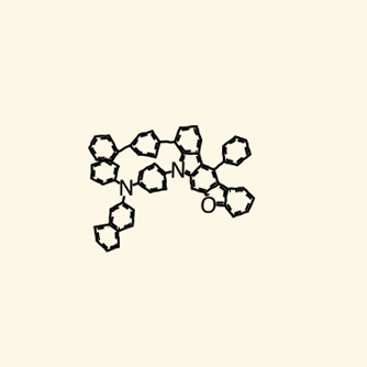 c1ccc(-c2ccc(-c3cccc4c5c(-c6ccccc6)c6c(cc5n(-c5ccc(N(c7ccccc7)c7ccc8ccccc8c7)cc5)c34)oc3ccccc36)cc2)cc1